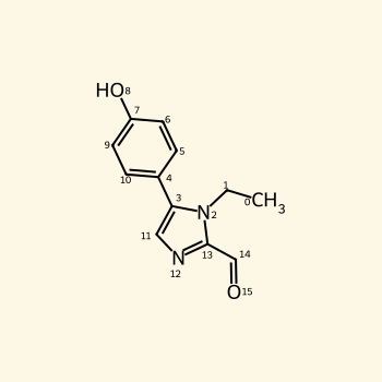 CCn1c(-c2ccc(O)cc2)cnc1C=O